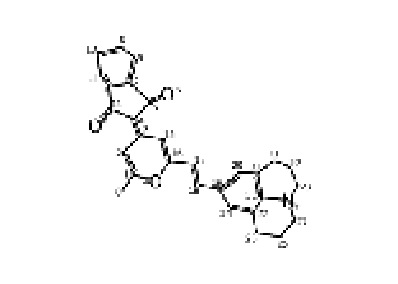 CC1=CC(=C2C(=O)c3ccccc3C2=O)C=C(/C=C/c2cc3c4c(c2)CCCN4CCC3)O1